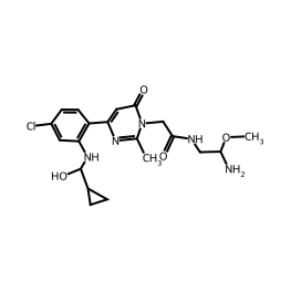 COC(N)CNC(=O)Cn1c(C)nc(-c2ccc(Cl)cc2NC(O)C2CC2)cc1=O